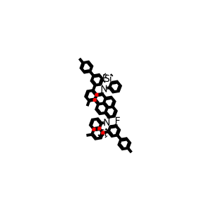 Cc1ccc(-c2cc(F)c(N(c3ccccc3[Si](C)(C)C)c3ccc4ccc5c(N(c6ccccc6[Si](C)(C)C)c6c(F)cc(-c7ccc(C)cc7)cc6-c6ccc(C)cc6)ccc6ccc3c4c65)c(-c3ccc(C)cc3)c2)cc1